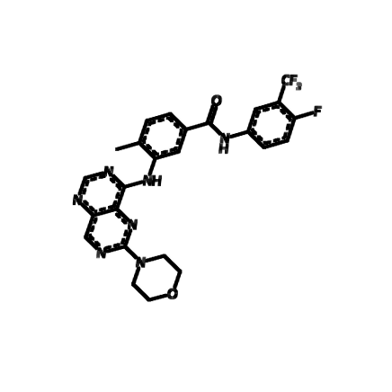 Cc1ccc(C(=O)Nc2ccc(F)c(C(F)(F)F)c2)cc1Nc1ncnc2cnc(N3CCOCC3)nc12